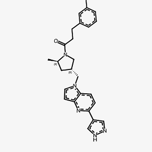 C[C@@H]1C[C@@H](Cn2ccc3nc(-c4cn[nH]c4)ccc32)CN1C(=O)CCc1cccc(F)c1